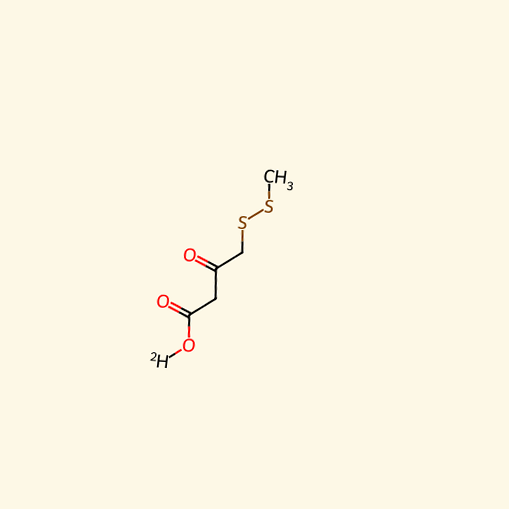 [2H]OC(=O)CC(=O)CSSC